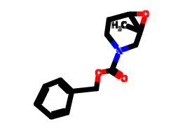 CC12CN(C(=O)OCc3ccccc3)CCC1O2